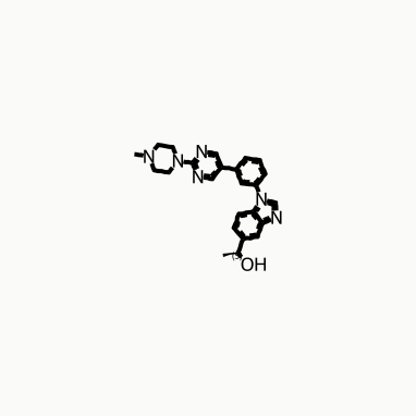 C[C@H](O)c1ccc2c(c1)ncn2-c1cccc(-c2cnc(N3CCN(C)CC3)nc2)c1